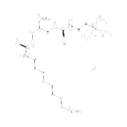 CCCCCCCCCCCCCCCCCCNC(=O)OCC(COC(=O)NCC[N+](C)(C)C)OC.[I-]